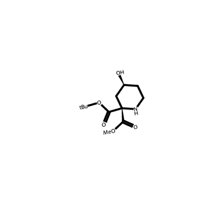 COC(=O)[C@@]1(C(=O)OC(C)(C)C)C[C@@H](O)CCN1